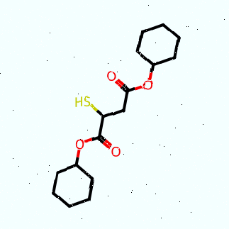 O=C(CC(S)C(=O)OC1CCCCC1)OC1CCCCC1